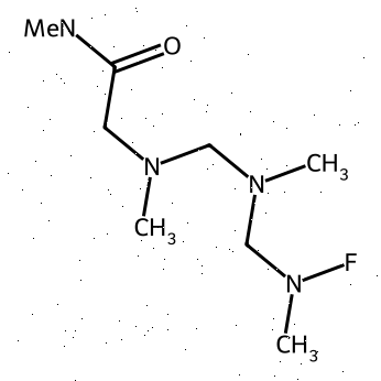 CNC(=O)CN(C)CN(C)CN(C)F